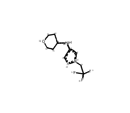 FC(F)(F)Cn1cc(NC2CCOCC2)cn1